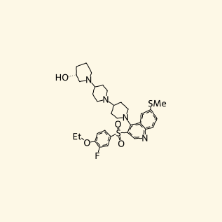 CCOc1ccc(S(=O)(=O)c2cnc3ccc(SC)cc3c2N2CCC(N3CCC(N4CCC[C@@H](O)C4)CC3)CC2)cc1F